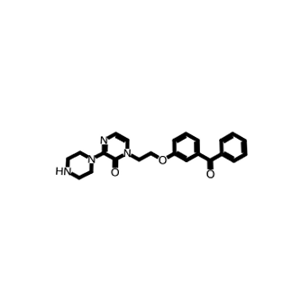 O=C(c1ccccc1)c1cccc(OCCn2ccnc(N3CCNCC3)c2=O)c1